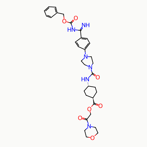 N=C(NC(=O)OCc1ccccc1)c1ccc(N2CCN(C(=O)N[C@H]3CC[C@H](C(=O)OCC(=O)N4CCOCC4)CC3)CC2)cc1